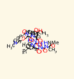 C=C(C[C@@H](C(=O)NC(=O)NC(C)C(=O)NC)N(C)C(=O)NC(=O)[C@H](CC(C)(C)O)N(C)C(=O)[C@@H](COCCCN(C)C)N(C)C(=O)CCC)C(C)C